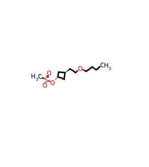 CCCCOCC[C@H]1C[C@H](OS(C)(=O)=O)C1